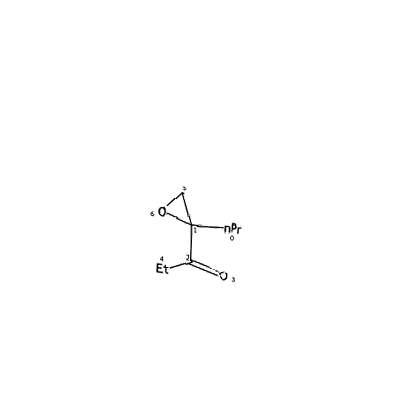 CCCC1(C(=O)CC)CO1